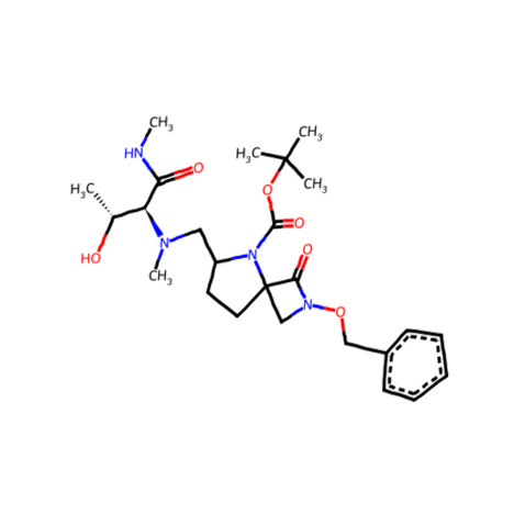 CNC(=O)[C@H]([C@@H](C)O)N(C)CC1CCC2(CN(OCc3ccccc3)C2=O)N1C(=O)OC(C)(C)C